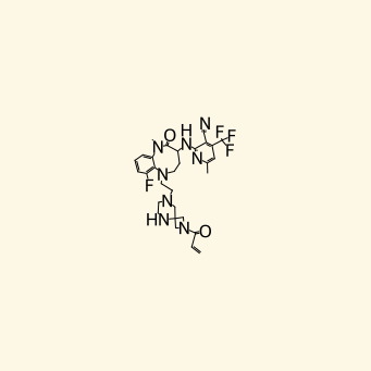 C=CC(=O)N1CC2(CN(CCN3CCC(Nc4nc(C)cc(C(F)(F)F)c4C#N)C(=O)N(C)c4cccc(F)c43)CCN2)C1